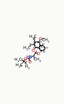 CCc1c(CC)c(OC(=O)[C@H](C)NC(=O)OC(C)(C)C)c2ccccc2c1OC